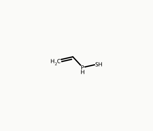 C=CPS